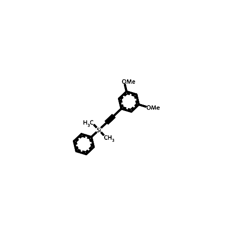 COc1cc(C#C[Si](C)(C)c2ccccc2)cc(OC)c1